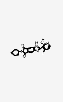 COc1nccc(I)c1-c1nc2cc3c(cc2[nH]1)C(=O)N(C1CCCCC1)C3=O